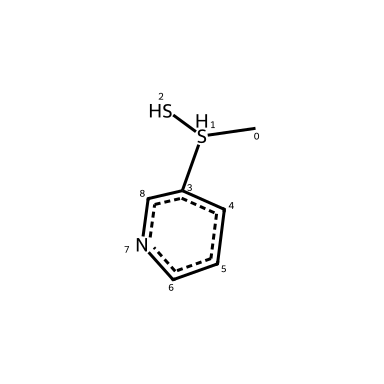 C[SH](S)c1cccnc1